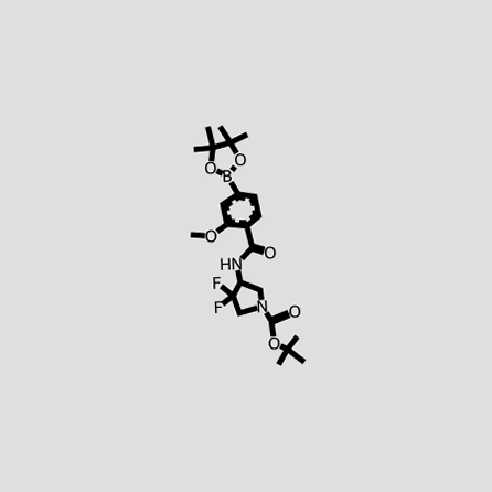 COc1cc(B2OC(C)(C)C(C)(C)O2)ccc1C(=O)NC1CN(C(=O)OC(C)(C)C)CC1(F)F